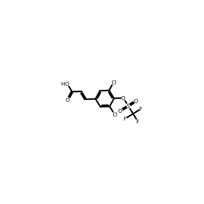 O=C(O)/C=C/c1cc(Cl)c(OS(=O)(=O)C(F)(F)F)c(Cl)c1